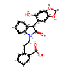 O=C(O)c1ccccc1CCN1C(=O)C(c2cc3c(cc2O)OCO3)c2ccccc21